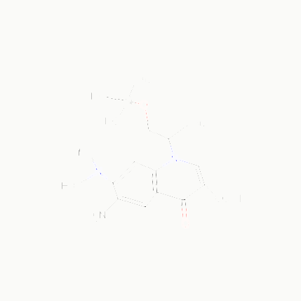 CN(C)c1cc2c(cc1[N+](=O)[O-])c(=O)c(C(=O)O)cn2C(CO[Si](C)(C)C(C)(C)C)C(C)(C)C